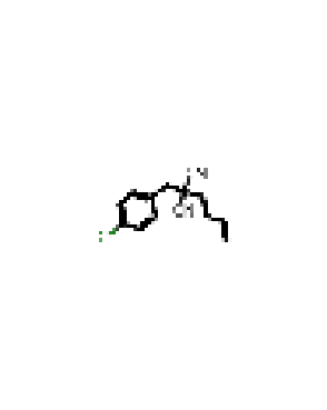 C=CCCC(C#N)(C#N)Cc1ccc(Cl)cc1